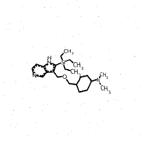 CC[Si](CC)(CC)c1[nH]c2ccncc2c1COCC1CCC(N(C)C)CC1